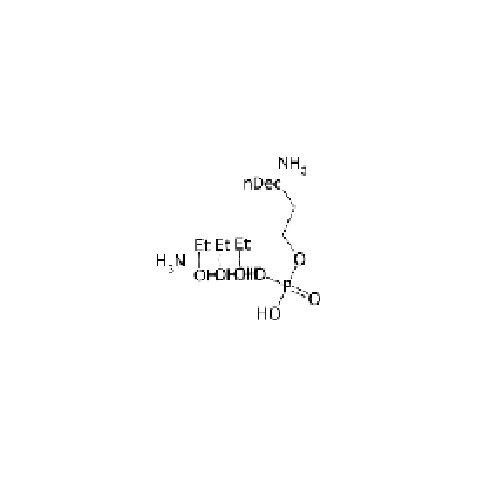 CCCCCCCCCCCCOP(=O)(O)O.CCO.CCO.CCO.N.N